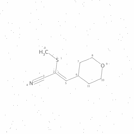 CSC(C#N)=CC1CCOCC1